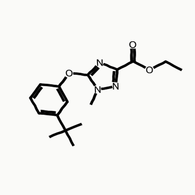 CCOC(=O)c1nc(Oc2cccc(C(C)(C)C)c2)n(C)n1